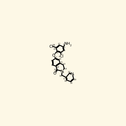 Nc1cc(Cl)c(Oc2ccc3c(c2)CCN(Cc2cccnc2)C3=O)c(Cl)c1